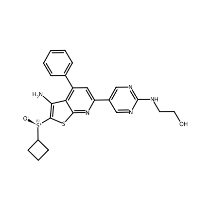 Nc1c([S@+]([O-])C2CCC2)sc2nc(-c3cnc(NCCO)nc3)cc(-c3ccccc3)c12